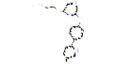 CC(=O)NCCSc1cncc(Oc2ccc(-c3ccc(C)cn3)cc2)n1